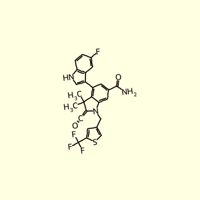 CC1(C)C(=C=O)N(Cc2csc(C(F)(F)F)c2)c2cc(C(N)=O)cc(-c3c[nH]c4ccc(F)cc34)c21